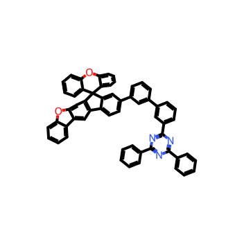 c1ccc(-c2nc(-c3ccccc3)nc(-c3cccc(-c4cccc(-c5ccc6c(c5)C5(c7ccccc7Oc7ccccc75)c5cc7oc8ccccc8c7cc5-6)c4)c3)n2)cc1